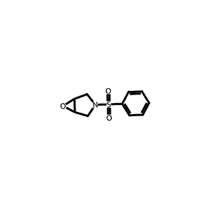 O=S(=O)(c1ccccc1)N1CC2OC2C1